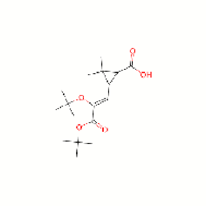 CC(C)(C)OC(=O)C(=CC1C(C(=O)O)C1(C)C)OC(C)(C)C